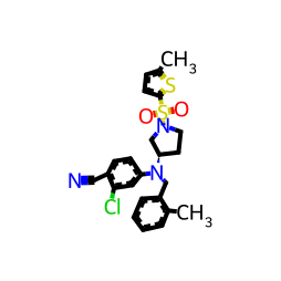 Cc1ccc(S(=O)(=O)N2CC[C@H](N(Cc3ccccc3C)c3ccc(C#N)c(Cl)c3)C2)s1